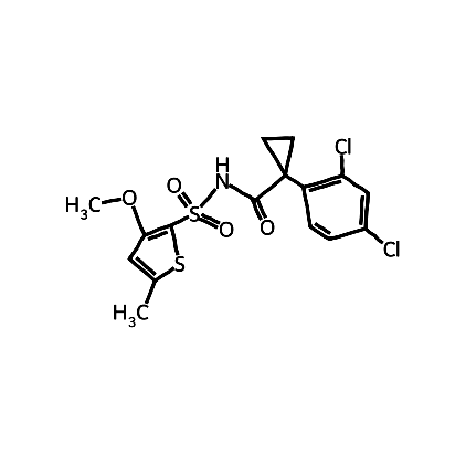 COc1cc(C)sc1S(=O)(=O)NC(=O)C1(c2ccc(Cl)cc2Cl)CC1